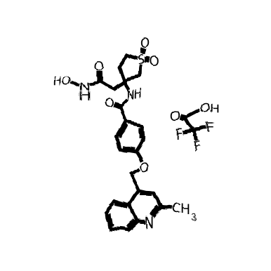 Cc1cc(COc2ccc(C(=O)NC3(CC(=O)NO)CCS(=O)(=O)C3)cc2)c2ccccc2n1.O=C(O)C(F)(F)F